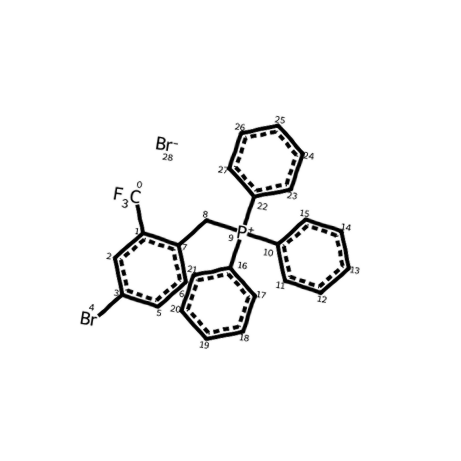 FC(F)(F)c1cc(Br)ccc1C[P+](c1ccccc1)(c1ccccc1)c1ccccc1.[Br-]